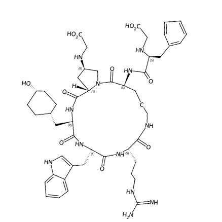 N=C(N)NCCC[C@@H]1NC(=O)[C@H](Cc2c[nH]c3ccccc23)NC(=O)[C@@H](C[C@H]2CC[C@@H](O)CC2)NC(=O)[C@@H]2C[C@@H](NCC(=O)O)CN2C(=O)[C@@H](NC(=O)[C@H](Cc2ccccc2)NCC(=O)O)CCCNC1=O